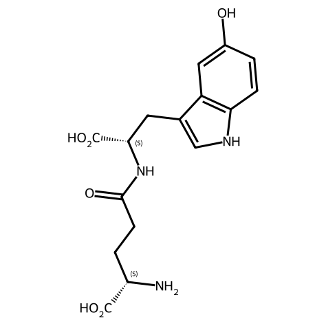 N[C@@H](CCC(=O)N[C@@H](Cc1c[nH]c2ccc(O)cc12)C(=O)O)C(=O)O